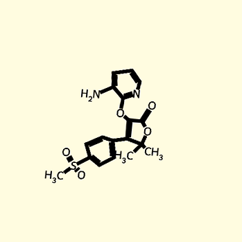 CC1(C)OC(=O)C(Oc2ncccc2N)=C1c1ccc(S(C)(=O)=O)cc1